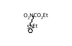 CCOC(=O)C(=CC=CC=C1Sc2ccccc2N1CC)[N+](=O)[O-]